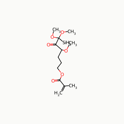 C=C(C)C(=O)OCCCC(OC)C(=O)C([SiH3])(OC)OC